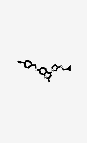 Cc1cc(N2CCC(OCC3CC3)C2)c2ccc(OCc3ccc(C#N)cc3)cc2n1